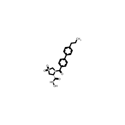 CCCc1ccc(-c2ccc(C(=O)N3CS(=O)(=O)C[C@H]3C(=O)NO)cc2)cc1